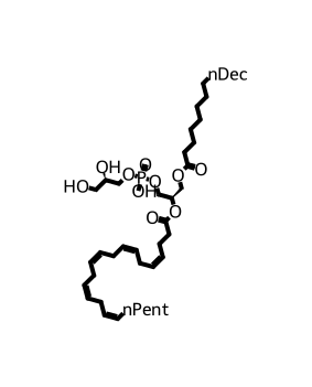 CCCCC/C=C\C/C=C\C/C=C\C/C=C\C/C=C\CCC(=O)O[C@H](COC(=O)CCCCCCCCCCCCCCCCC)COP(=O)(O)OC[C@@H](O)CO